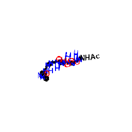 CC(=O)Nc1cn(C)c(C(=O)Nc2cn(C)c(C(=O)Nc3cn(C)c(C(=O)NCCCN4CCN(CCCNc5ccc6ncn7c8ccccc8c(=O)c5c67)CC4)n3)c2O)n1